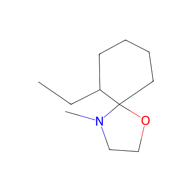 CCC1CCCCC12OCCN2C